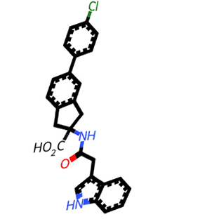 O=C(Cc1c[nH]c2ccccc12)NC1(C(=O)O)Cc2ccc(-c3ccc(Cl)cc3)cc2C1